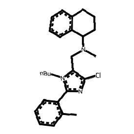 CCCCn1c(-c2ccccc2C)nc(Cl)c1CN(C)C1CCCc2ccccc21